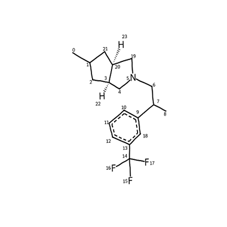 CC1C[C@@H]2CN(CC(C)c3cccc(C(F)(F)F)c3)C[C@@H]2C1